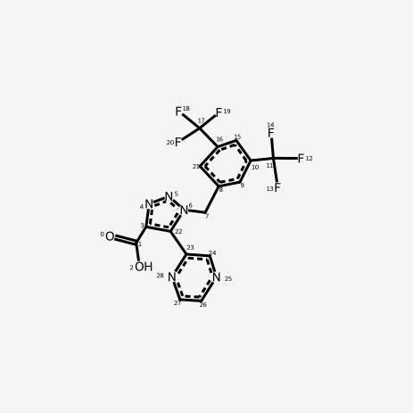 O=C(O)c1nnn(Cc2cc(C(F)(F)F)cc(C(F)(F)F)c2)c1-c1cnccn1